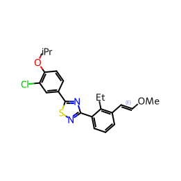 CCc1c(/C=C/OC)cccc1-c1nsc(-c2ccc(OC(C)C)c(Cl)c2)n1